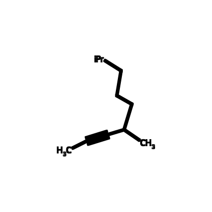 [CH2]C(C)CCCC(C)C#CC